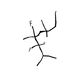 CCC(C)(C)C(C)(F)C(F)(F)C(C)C